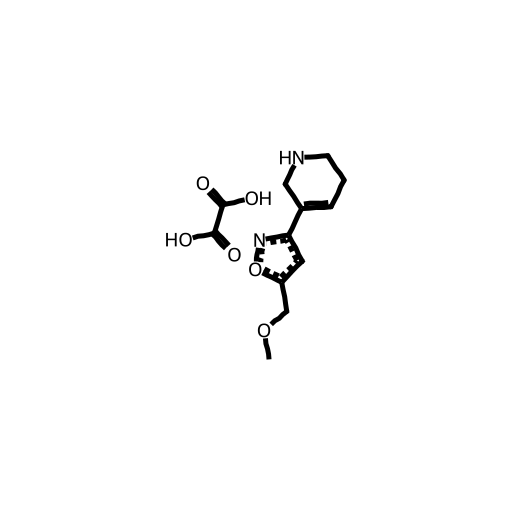 COCc1cc(C2=CCCNC2)no1.O=C(O)C(=O)O